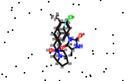 C[C@@H]1NC(=O)N(c2cc(Cl)c(C(F)(F)F)cc2C=CC(=O)N2C3CCC2CN(Cc2ccc(F)cc2)C3)C1=O